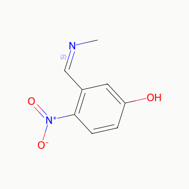 C/N=C\c1cc(O)ccc1[N+](=O)[O-]